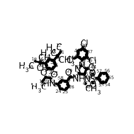 CCC(Oc1ccc(C(C)(C)CC)cc1C(C)(C)CC)C(=O)Nc1cccc(C(=O)NC2=NN(c3c(Cl)cc(Cl)cc3Cl)C(=O)C2N(CC)S(=O)(=O)c2ccccc2)c1